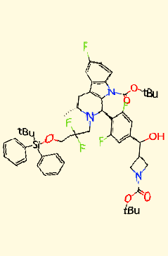 C[C@@H]1Cc2c(n(C(=O)OC(C)(C)C)c3ccc(F)cc23)[C@@H](c2c(F)cc(C(O)C3CN(C(=O)OC(C)(C)C)C3)cc2F)N1CC(F)(F)CO[Si](c1ccccc1)(c1ccccc1)C(C)(C)C